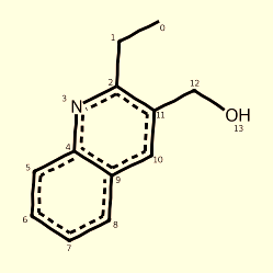 CCc1nc2ccccc2cc1CO